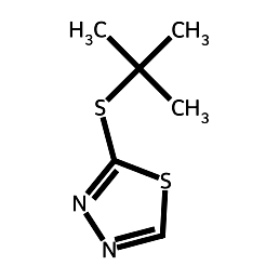 CC(C)(C)Sc1nncs1